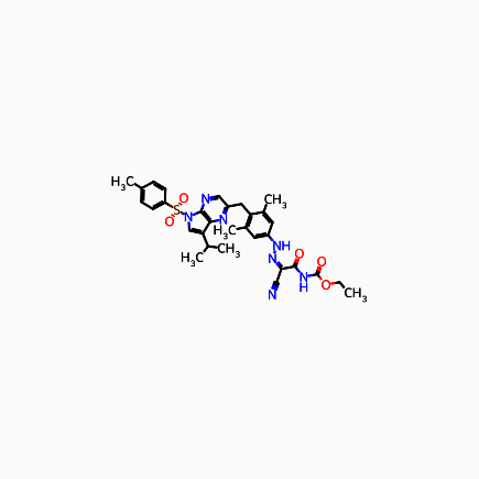 CCOC(=O)NC(=O)/C(C#N)=N\Nc1cc(C)c(Cc2cnc3c(n2)c(C(C)C)cn3S(=O)(=O)c2ccc(C)cc2)c(C)c1